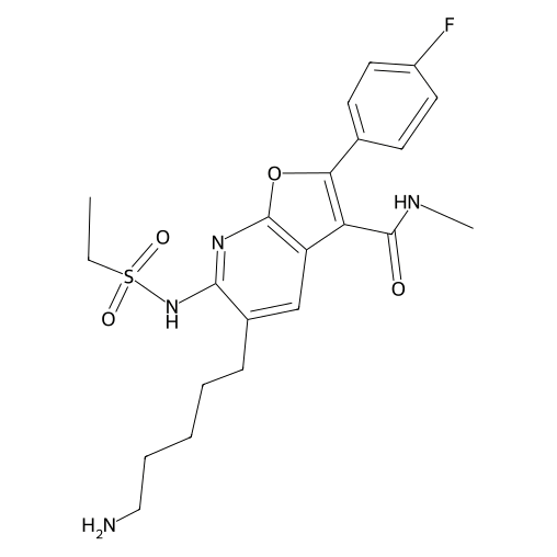 CCS(=O)(=O)Nc1nc2oc(-c3ccc(F)cc3)c(C(=O)NC)c2cc1CCCCCN